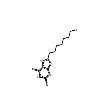 O=c1[nH]c(=O)c2[nH]c(CCCCCCCO)nc2[nH]1